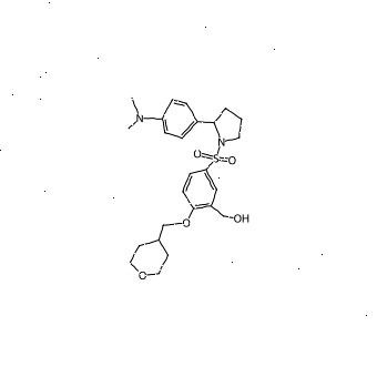 CN(C)c1ccc(C2CCCN2S(=O)(=O)c2ccc(OCC3CCOCC3)c(CO)c2)cc1